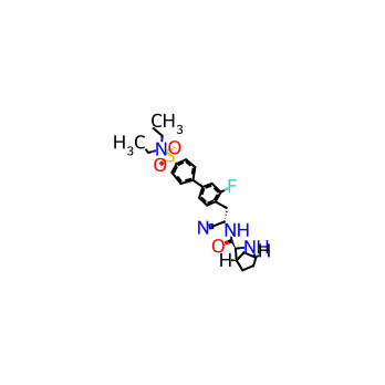 CCCN(CC)S(=O)(=O)c1ccc(-c2ccc(C[C@@H](C#N)NC(=O)[C@H]3N[C@@H]4CC[C@H]3C4)c(F)c2)cc1